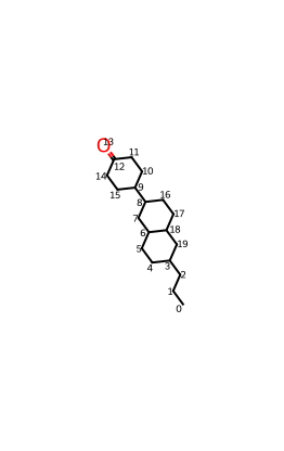 CCCC1CCC2CC(C3CCC(=O)CC3)CCC2C1